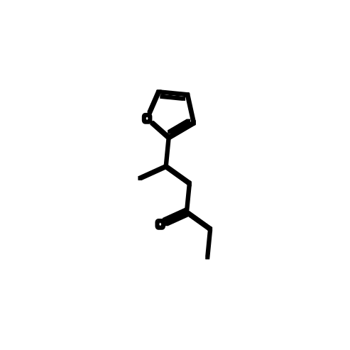 CCC(=O)CC(C)c1ccco1